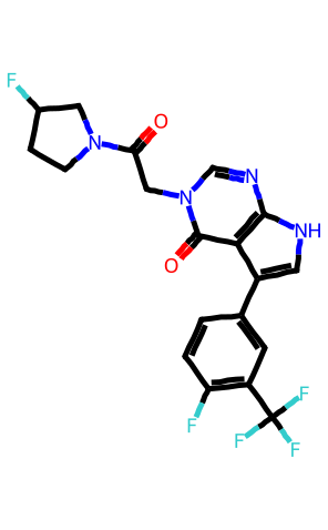 O=C(Cn1cnc2[nH]cc(-c3ccc(F)c(C(F)(F)F)c3)c2c1=O)N1CCC(F)C1